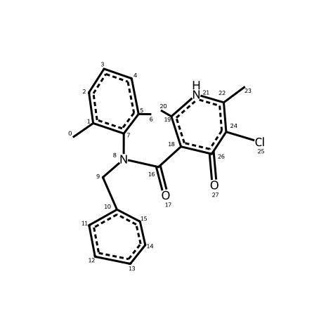 Cc1cccc(C)c1N(Cc1ccccc1)C(=O)c1c(C)[nH]c(C)c(Cl)c1=O